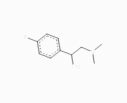 COC(CN(C)C)c1ccc(F)cc1